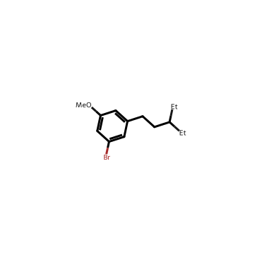 CCC(CC)CCc1cc(Br)cc(OC)c1